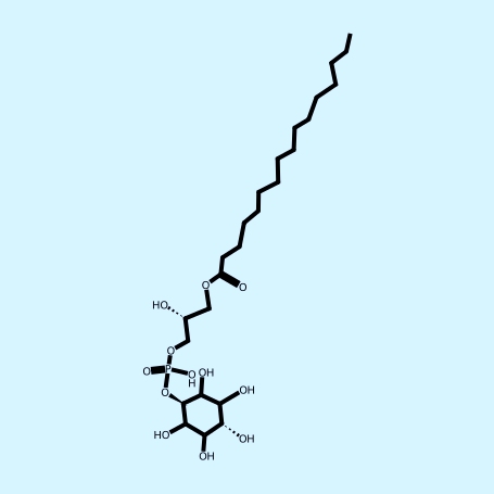 CCCCCCCCCCCCCCCC(=O)OC[C@@H](O)COP(=O)(O)O[C@H]1C(O)C(O)[C@H](O)C(O)C1O